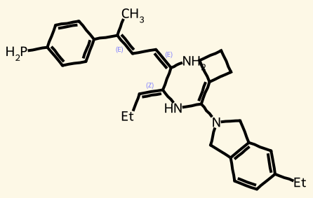 CC/C=C(NC(=C1CCC1)N1Cc2ccc(CC)cc2C1)/C(N)=C\C=C(/C)c1ccc(P)cc1